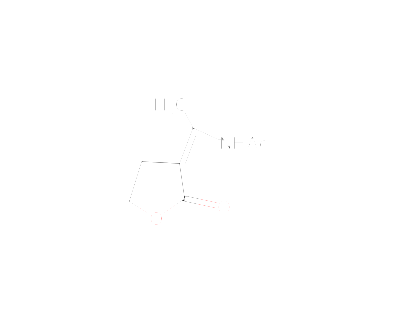 CC(=O)NC(C)=C1CCOC1=O